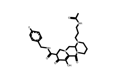 CC(=O)NCCCN1CCCN2C(=O)C3=C(O)C(=O)C(C(=O)NCc4ccc(F)cc4)CN3CC12